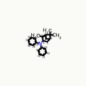 CC1=C2CC(CC1N(c1ccccc1)c1ccccc1)C2(C)C